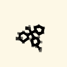 OC(c1ccccc1)(c1ccc(Cl)cc1)C1CCNCC1